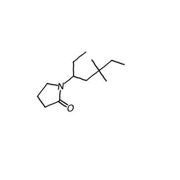 CCC(CC(C)(C)CC)N1CCCC1=O